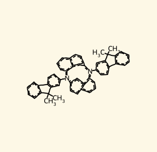 CC1(C)c2ccccc2-c2ccc(-n3c4ccc5cccc(c5c4)n(-c4ccc5c(c4)C(C)(C)c4ccccc4-5)c4ccc5cccc3c5c4)cc21